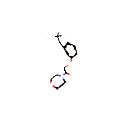 CC(C)(C)Cc1cccc(OCC(=O)N2CCOCC2)c1